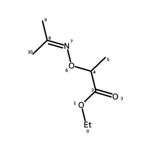 CCOC(=O)C(C)ON=C(C)C